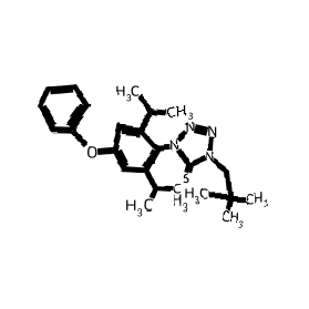 CC(C)c1cc(Oc2ccccc2)cc(C(C)C)c1-n1nnn(CC(C)(C)C)c1=S